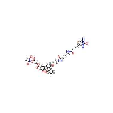 O=C(CCCC[C@H]1SCC2NC(=O)NC21)NCCCCCC(=O)NCCCOc1cccc(C(O)(c2ccccc2)c2ccc(C(=O)OCCC(=O)ON3C(=O)CCC3=O)cc2)c1